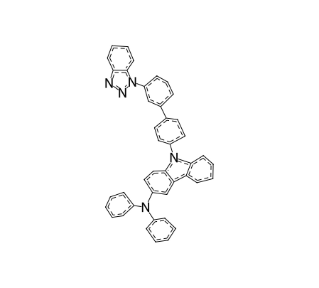 c1ccc(N(c2ccccc2)c2ccc3c(c2)c2ccccc2n3-c2ccc(-c3cccc(-n4nnc5ccccc54)c3)cc2)cc1